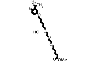 COC(=O)CCCCCOCCOCCOCCCCCCOc1ccc(F)c([C@H](C)N)c1.Cl